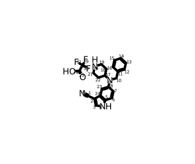 N#Cc1c[nH]c2ccc(N(Cc3ccccc3)C3CCNCC3)cc12.O=C(O)C(F)(F)F